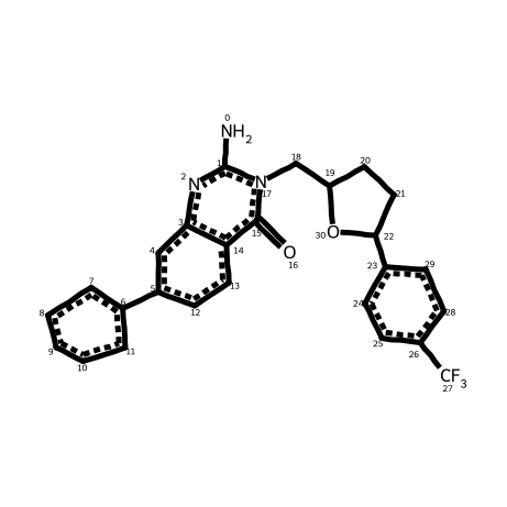 Nc1nc2cc(-c3ccccc3)ccc2c(=O)n1CC1CCC(c2ccc(C(F)(F)F)cc2)O1